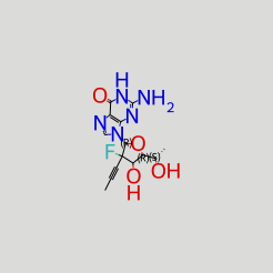 CC#CC1(F)C(O)[C@@H]([C@H](C)O)O[C@H]1n1cnc2c(=O)[nH]c(N)nc21